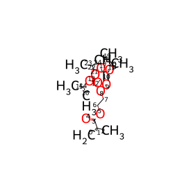 C=C(C)C(=O)OCCO[O][Ti](=[O])([O]OC(C)C)([O]C(C)C)[O]C(C)C